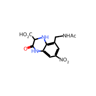 CC(=O)NCc1cc([N+](=O)[O-])cc2c1NC(C(=O)O)C(=O)N2